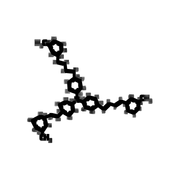 Cc1cccc(/C=C/C=C/c2ccc(N(c3ccc(/C=C/C=C/c4cccc(C)c4)cc3)c3ccc(/C=C/c4cccc(C)c4)cc3)cc2)c1